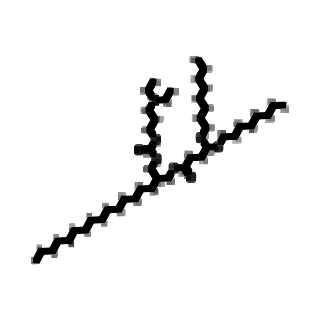 CCCCC[CH]CCCCCCCCCC(COC(=O)CCC(OCCCCCCCC)OCCCCCCCC)COC(=O)OCCCN(CC)CC